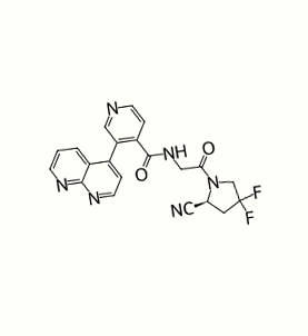 N#C[C@@H]1CC(F)(F)CN1C(=O)CNC(=O)c1ccncc1-c1ccnc2ncccc12